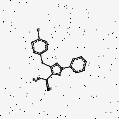 N=C(N)c1nn(-c2ccccc2)cc1Sc1ccc(Cl)cc1